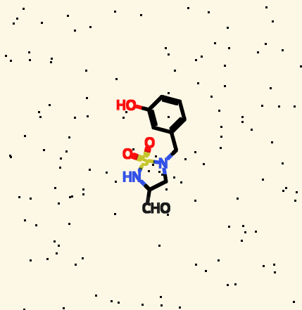 O=CC1CN(Cc2cccc(O)c2)S(=O)(=O)N1